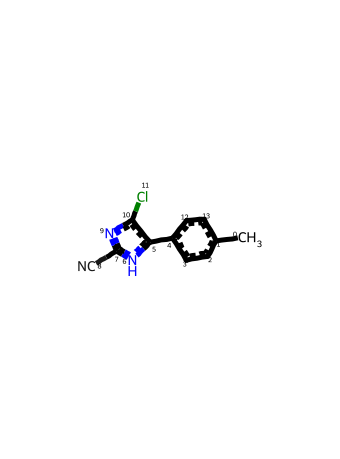 Cc1ccc(-c2[nH]c(C#N)nc2Cl)cc1